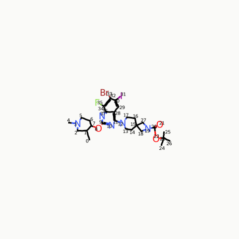 CC1CN(C)CCC1Oc1nc(N2CCC3(CC2)CN(C(=O)OC(C)(C)C)C3)c2cc(I)c(Br)c(F)c2n1